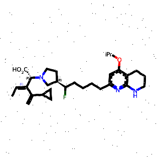 C=C(/C(=C\C)[C@H](C(=O)O)N1CC[C@@H](C(F)CCCCc2cc(OC(C)C)c3c(n2)NCCC3)C1)C1CC1